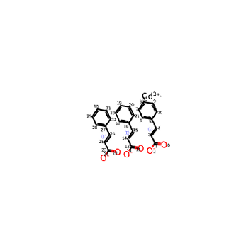 O=C([O-])/C=C/c1ccccc1.O=C([O-])/C=C/c1ccccc1.O=C([O-])/C=C/c1ccccc1.[Gd+3]